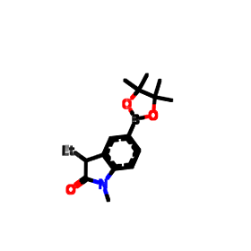 CCC1C(=O)N(C)c2ccc(B3OC(C)(C)C(C)(C)O3)cc21